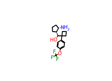 N[C@H]1CCC[C@@H]1C(O)C1(c2ccc(OC(F)(F)F)cc2)CCC1